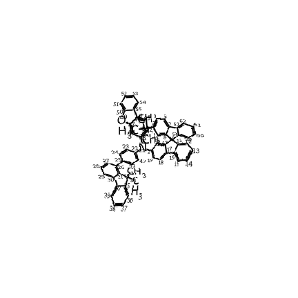 CC(C)(C)c1ccc2c(c1)C1(c3ccccc3-c3ccc(N(c4ccc(-c5cccc6c5C(C)(C)c5ccccc5-6)cc4)c4ccc5c(c4)oc4ccccc45)cc31)c1ccccc1-2